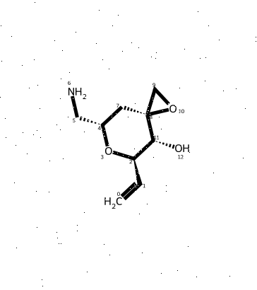 C=C[C@H]1O[C@H](CN)C[C@@]2(CO2)[C@@H]1O